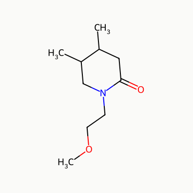 COCCN1CC(C)C(C)CC1=O